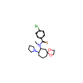 CCN(C(=S)c1ccc(Br)cc1)C1CC2(CCCC1N1CCCC1)OCCO2